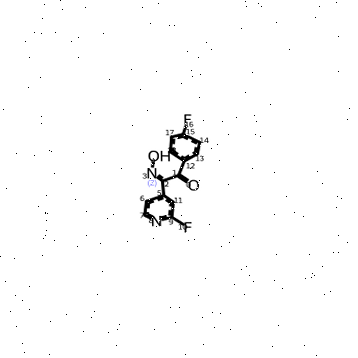 O=C(/C(=N\O)c1ccnc(F)c1)c1ccc(F)cc1